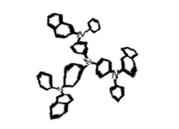 C1=CCCC(N(c2ccc(N(c3ccc(N(c4ccccc4)c4ccc5ccccc5c4)cc3)c3ccc(N(c4ccccc4)c4ccc5ccccc5c4)cc3)cc2)c2ccc3ccccc3c2)=C1